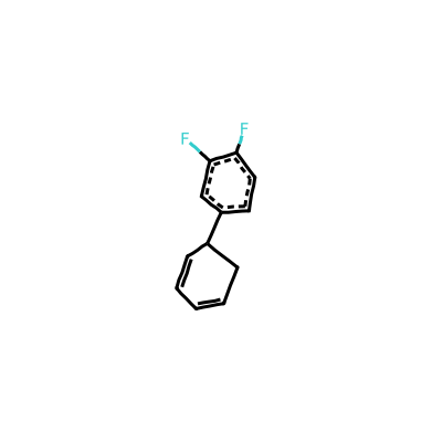 Fc1ccc(C2C=CC=CC2)cc1F